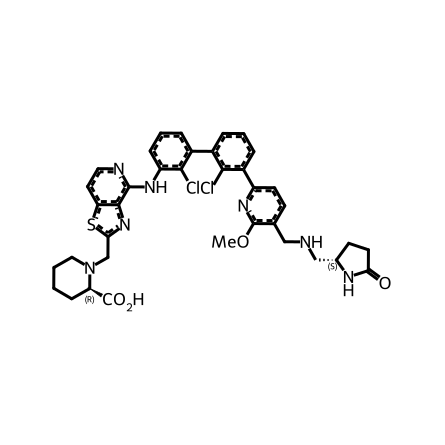 COc1nc(-c2cccc(-c3cccc(Nc4nccc5sc(CN6CCCC[C@@H]6C(=O)O)nc45)c3Cl)c2Cl)ccc1CNC[C@@H]1CCC(=O)N1